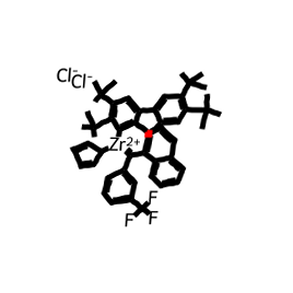 CC(C)(C)c1cc2c(cc1C(C)(C)C)-c1cc(C(C)(C)C)c(C(C)(C)C)[c]([Zr+2](=[C](c3cccc(C(F)(F)F)c3)c3cccc4ccccc34)[CH]3C=CC=C3)c1C2.[Cl-].[Cl-]